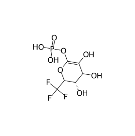 O=P(O)(O)OC1=C(O)C(O)[C@H](O)C(C(F)(F)F)O1